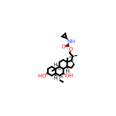 CC[C@H]1[C@@H](O)C2[C@@H]3CC[C@H]([C@H](C)COC(=O)NC4CC4)C3(C)CC[C@@H]2C2(C)CC[C@@H](O)C[C@@H]12